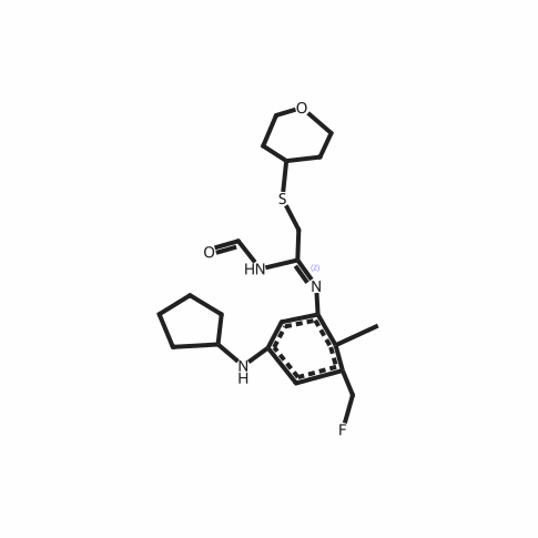 Cc1c(CF)cc(NC2CCCC2)cc1/N=C(/CSC1CCOCC1)NC=O